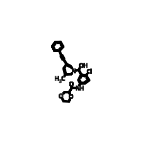 CC1=CC(C#Cc2ccccc2)=CN(C(O)c2cc(NC(=O)C3COCCO3)ccc2Cl)C1